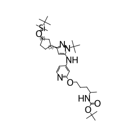 CC(CCCOc1cc(Nc2cc([C@H]3CC[C@@H](O[Si](C)(C)C(C)(C)C)C3)nn2C(C)(C)C)ccn1)NC(=O)OC(C)(C)C